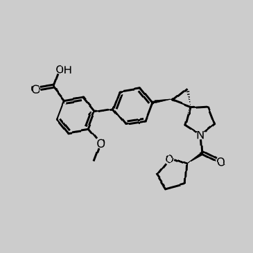 COc1ccc(C(=O)O)cc1-c1ccc([C@H]2C[C@@]23CCN(C(=O)[C@H]2CCCO2)C3)cc1